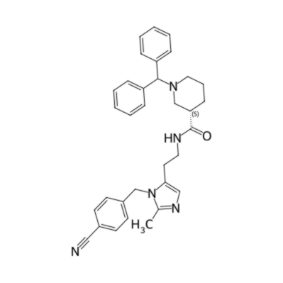 Cc1ncc(CCNC(=O)[C@H]2CCCN(C(c3ccccc3)c3ccccc3)C2)n1Cc1ccc(C#N)cc1